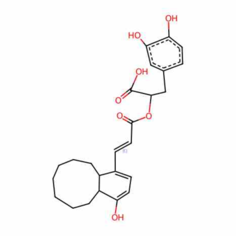 O=C(/C=C/C1=CC=C(O)C2CCCCCCCC12)OC(Cc1ccc(O)c(O)c1)C(=O)O